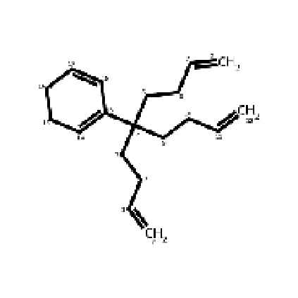 C=CCCC(CCC=C)(CCC=C)C1=CC[CH]C=C1